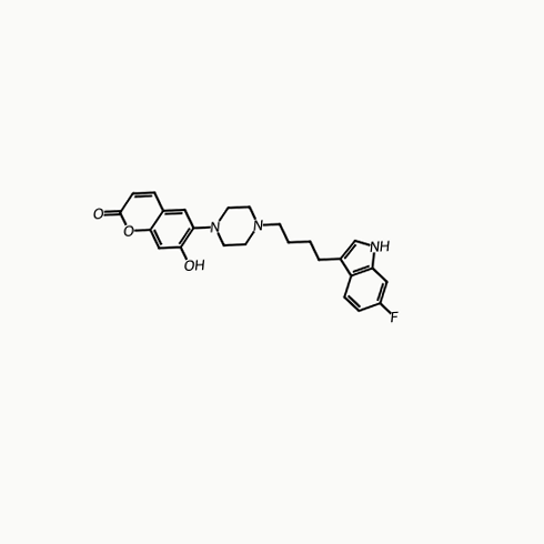 O=c1ccc2cc(N3CCN(CCCCc4c[nH]c5cc(F)ccc45)CC3)c(O)cc2o1